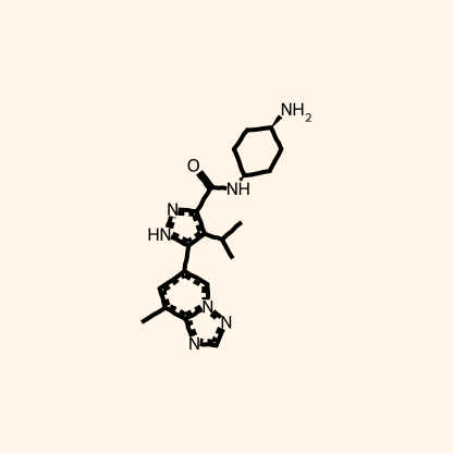 Cc1cc(-c2[nH]nc(C(=O)N[C@H]3CC[C@H](N)CC3)c2C(C)C)cn2ncnc12